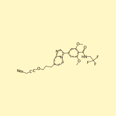 COc1cc(-c2cnc3cc(CCCOCCCC#N)ccn23)cc(OC)c1C(=O)NCC(F)(F)F